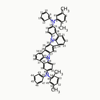 Cc1ccc(C)c(N(c2ccccc2)c2ccc3c(c2)c2cccc4c5cc6c(cc5n3c24)c2cccc3c4cc(N(c5ccccc5)c5cc(C)ccc5C)ccc4n6c32)c1